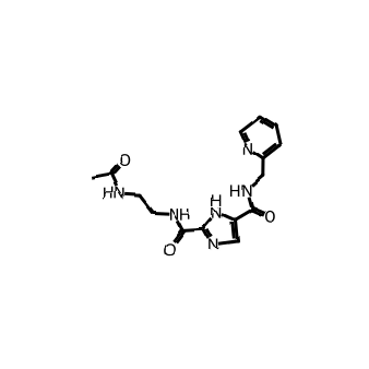 CC(=O)NCCNC(=O)c1ncc(C(=O)NCc2ccccn2)[nH]1